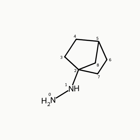 NNC12CCC(CC1)C2